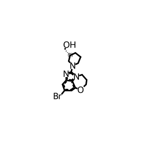 OC[C@@H]1CCCN(c2nc3cc(Br)cc4c3n2CCCO4)C1